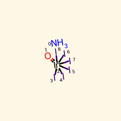 N.[O]=[Ir]([I])([I])([I])([I])([I])[I]